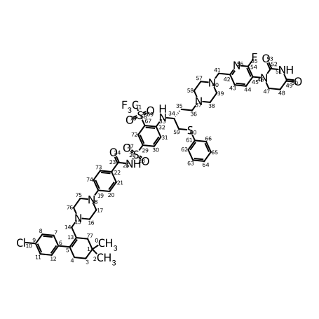 CC1(C)CCC(c2ccc(Cl)cc2)=C(CN2CCN(c3ccc(C(=O)NS(=O)(=O)c4ccc(N[C@H](CCN5CCN(Cc6ccc(N7CCC(=O)NC7=O)c(F)n6)CC5)CSc5ccccc5)c(S(=O)(=O)C(F)(F)F)c4)cc3)CC2)C1